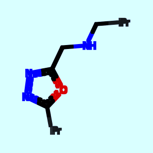 CC(C)CNCc1nnc(C(C)C)o1